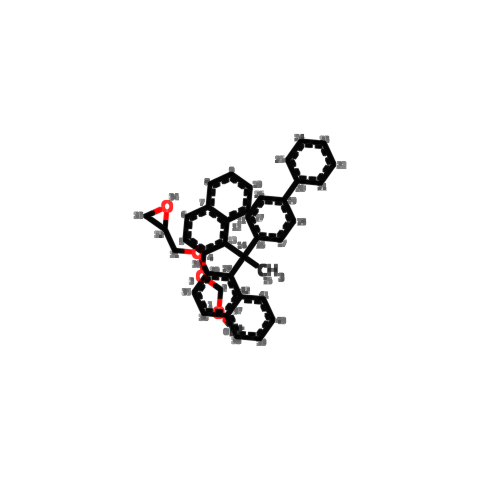 CCOCOc1ccc2ccccc2c1C(C)(c1ccc(-c2ccccc2)cc1)c1c(OCC2CO2)ccc2ccccc12